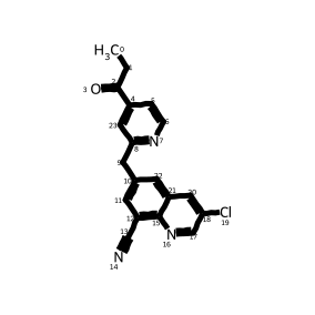 CCC(=O)c1ccnc(Cc2cc(C#N)c3ncc(Cl)cc3c2)c1